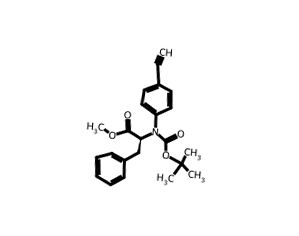 C#Cc1ccc(N(C(=O)OC(C)(C)C)[C@@H](Cc2ccccc2)C(=O)OC)cc1